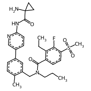 CCCN(Cc1cc(-c2ccc(NC(=O)C3(N)CC3)nc2)ccc1C)C(=O)c1ccc(S(C)(=O)=O)c(F)c1CC